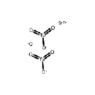 [O].[O]=[Ta](=[O])[O-].[O]=[Ta](=[O])[O-].[Sr+2]